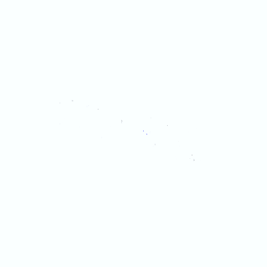 O=S(=O)(C1CCN(CCc2ccc3occc3c2)C1)C(F)(F)F